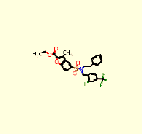 CCOC(=O)c1oc2ccc(S(=O)(=O)N(CCc3ccccc3)Cc3ccc(C(F)(F)F)cc3F)cc2c1C